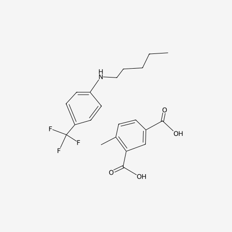 CCCCCNc1ccc(C(F)(F)F)cc1.Cc1ccc(C(=O)O)cc1C(=O)O